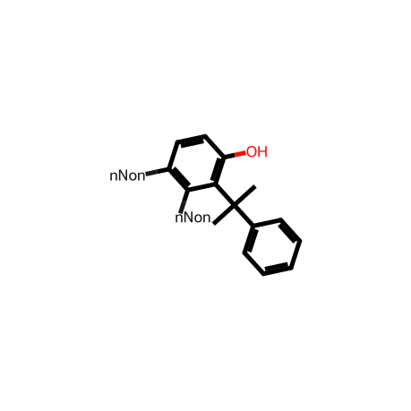 CCCCCCCCCc1ccc(O)c(C(C)(C)c2ccccc2)c1CCCCCCCCC